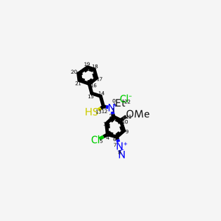 CCN(c1cc(Cl)c([N+]#N)cc1OC)C(S)CCc1ccccc1.[Cl-]